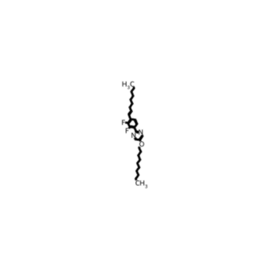 CCCCCCC/C=C/c1ccc(-c2ncc(OCCCCCCCCCC)cn2)c(F)c1F